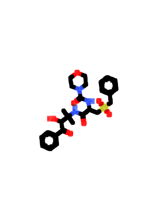 CC(C)(NC(=O)C(CS(=O)(=O)Cc1ccccc1)NC(=O)N1CCOCC1)C(O)C(=O)c1ccccc1